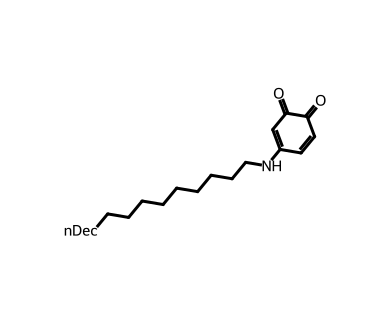 CCCCCCCCCCCCCCCCCCCNC1=CC(=O)C(=O)C=C1